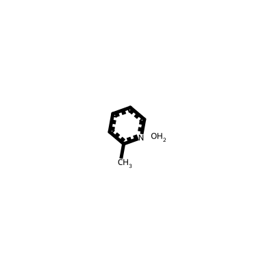 Cc1ccccn1.O